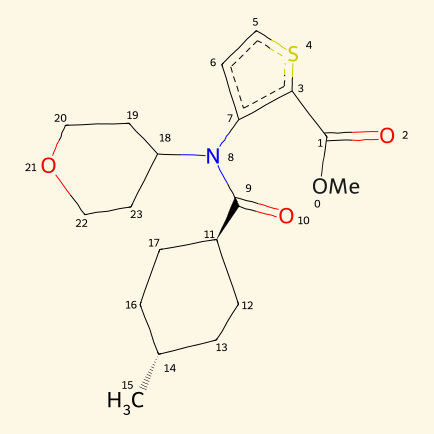 COC(=O)c1sccc1N(C(=O)[C@H]1CC[C@H](C)CC1)C1CCOCC1